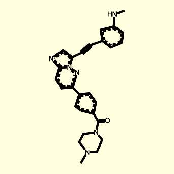 CNc1cccc(C#Cc2cnc3ccc(-c4ccc(C(=O)N5CCN(C)CC5)cc4)nn23)c1